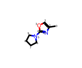 Cc1coc(N2CCCC2)n1